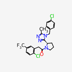 Cc1nnc([C@H]2CCCN2C(=O)Cc2cc(C(F)(F)F)ccc2Cl)n1Cc1ccc(Cl)cc1